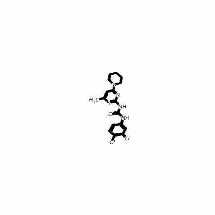 Cc1cc(N2CCCCC2)nc(NC(=O)Nc2ccc(Cl)c(Cl)c2)n1